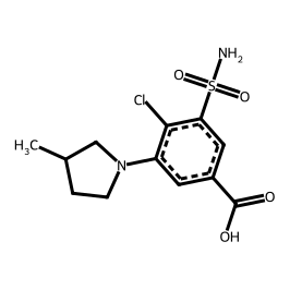 CC1CCN(c2cc(C(=O)O)cc(S(N)(=O)=O)c2Cl)C1